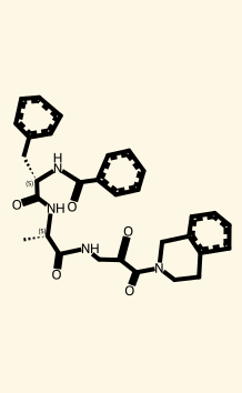 C[C@H](NC(=O)[C@H](Cc1ccccc1)NC(=O)c1ccccc1)C(=O)NCC(=O)C(=O)N1CCc2ccccc2C1